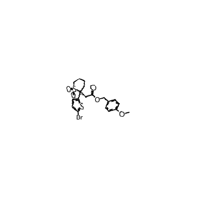 COc1ccc(COC(=O)C[C@]2(c3ccc(Br)s3)CCCCS2(=O)=O)cc1